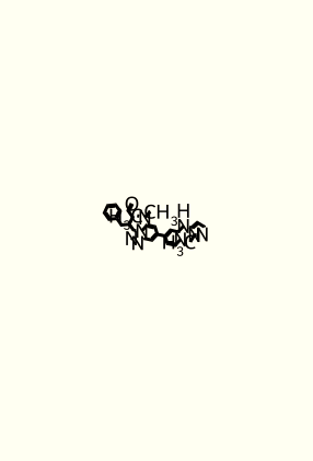 CN(C)c1cc(-c2ccnc(Nc3ccnn3C)c2)cc2nnc(C(CC=O)Cc3ccccc3)n12